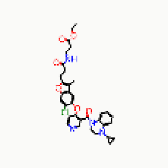 CCOC(=O)CCNC(=O)CCc1oc2cc(Cl)c(Oc3ccncc3C(=O)N3CCN(C4CC4)c4ccccc43)cc2c1C